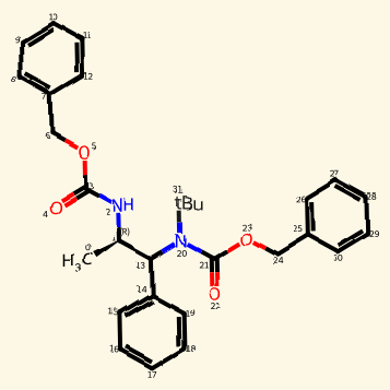 C[C@@H](NC(=O)OCc1ccccc1)C(c1ccccc1)N(C(=O)OCc1ccccc1)C(C)(C)C